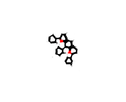 Cc1ccc2c(c1)c1ccccc1n2-c1cc(C(F)(F)F)cc(-n2c3ccccc3c3cc(C)ccc32)c1-c1c(F)c(F)c(F)c(F)c1F